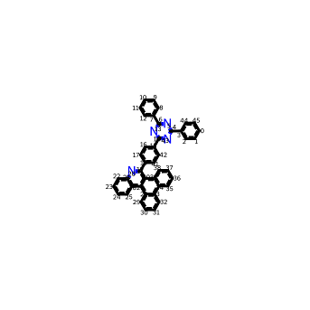 c1ccc(-c2nc(-c3ccccc3)nc(-c3ccc(-c4nc5ccccc5c5c6ccccc6c6ccccc6c45)cc3)n2)cc1